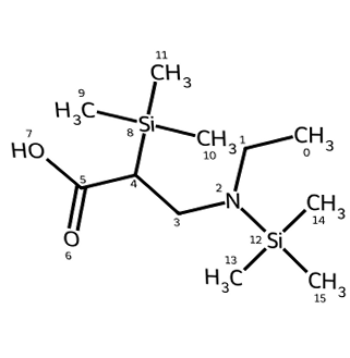 CCN(CC(C(=O)O)[Si](C)(C)C)[Si](C)(C)C